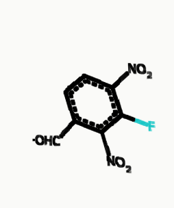 O=[C]c1ccc([N+](=O)[O-])c(F)c1[N+](=O)[O-]